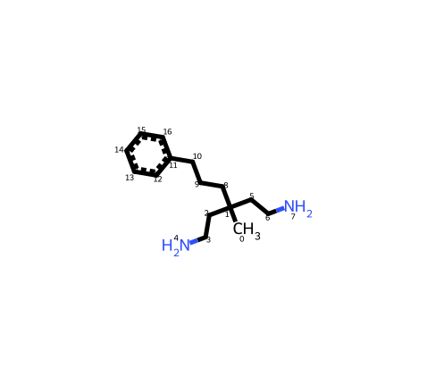 CC(CCN)(CCN)CCCc1ccccc1